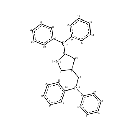 c1ccc(P(CC2CNC(P(c3ccccc3)c3ccccc3)C2)c2ccccc2)cc1